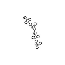 c1ccc(-n2c(-c3ccc(-c4c5ccccc5c(-c5ccc(-c6ccc7c(c6)nc(-c6ccc(-c8c9ccccc9c(-c9cccnc9)c9ccccc89)cc6)n7-c6ccccc6)cn5)c5ccccc45)cc3)nc3ccccc32)cc1